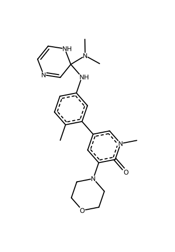 Cc1ccc(NC2(N(C)C)C=NC=CN2)cc1-c1cc(N2CCOCC2)c(=O)n(C)c1